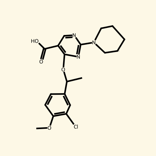 COc1ccc(C(C)Oc2nc(N3C[CH]CCC3)ncc2C(=O)O)cc1Cl